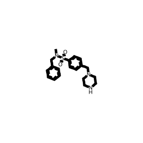 CN(Cc1ccccc1)S(=O)(=O)c1ccc(CN2CCNCC2)cc1